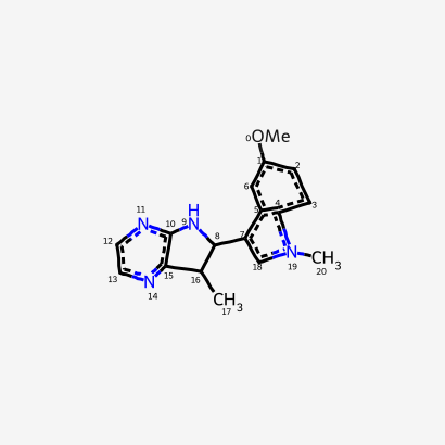 COc1ccc2c(c1)c(C1Nc3nccnc3C1C)cn2C